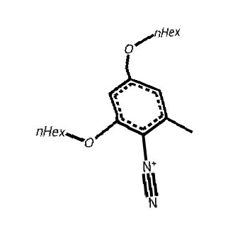 CCCCCCOc1cc(C)c([N+]#N)c(OCCCCCC)c1